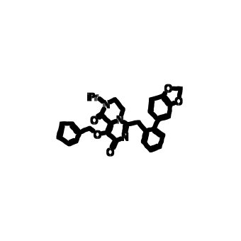 CC(C)N1CCn2c(Cc3ccccc3-c3ccc4c(c3)OCO4)nc(=O)c(OCc3ccccc3)c2C1=O